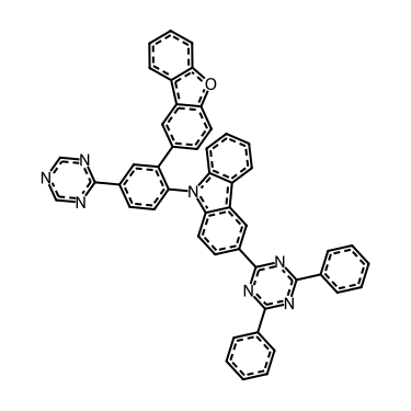 c1ccc(-c2nc(-c3ccccc3)nc(-c3ccc4c(c3)c3ccccc3n4-c3ccc(-c4ncncn4)cc3-c3ccc4oc5ccccc5c4c3)n2)cc1